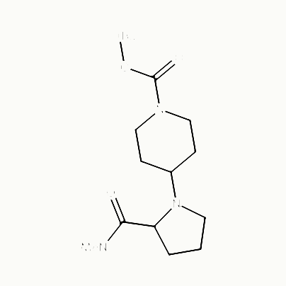 CNC(=O)C1CCCN1C1CCN(C(=O)OC(C)(C)C)CC1